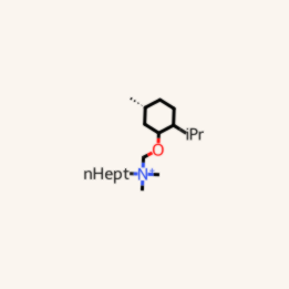 CCCCCCC[N+](C)(C)COC1C[C@H](C)CCC1C(C)C